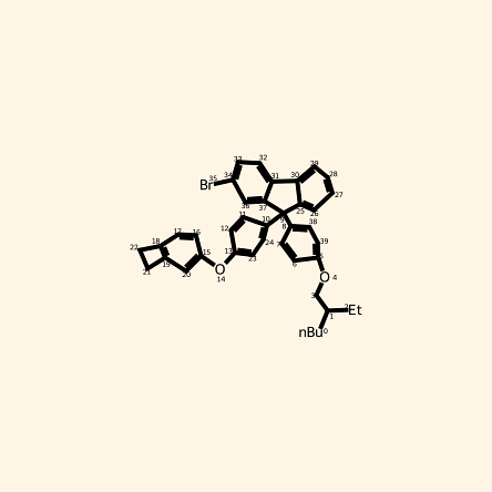 CCCCC(CC)COc1ccc(C2(c3ccc(Oc4ccc5c(c4)CC5)cc3)c3ccccc3-c3ccc(Br)cc32)cc1